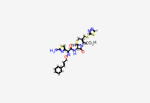 Nc1nc(C(=NOCC=Cc2ccccc2)C(=O)NC2C(=O)N3C(C(=O)O)=C(CSc4nncs4)CS[C@@H]23)cs1